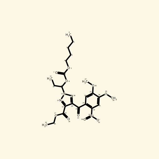 CCCCCOC(=O)OC(CC)n1nc(C(=O)OCC)c(C(=O)c2cc(OC)c(OC)cc2[N+](=O)[O-])n1